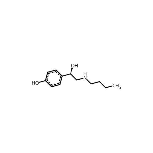 CCCCNC[C@H](O)c1ccc(O)cc1